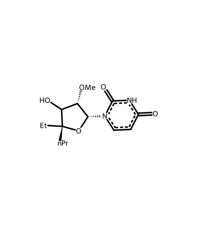 CCC[C@]1(CC)O[C@@H](n2ccc(=O)[nH]c2=O)[C@@H](OC)C1O